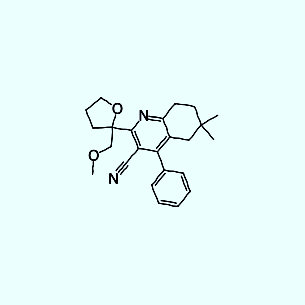 COCC1(c2nc3c(c(-c4ccccc4)c2C#N)CC(C)(C)CC3)CCCO1